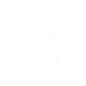 CC(C)COC1CCCN(C(=O)OC(C)(C)C)C1